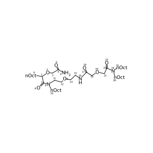 CCCCCCCCC(OCC(N)=O)C(=O)N(CCCCCCCC)CCOCCNC(=O)COCC(=O)N(CCCCCCCC)CCCCCCCC